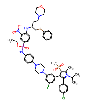 CCOP(=O)(Nc1ccc(N2CCN(c3cc(F)cc(-c4c(S(C)(=O)=O)c(C)n(C(C)C)c4-c4ccc(Cl)cc4)c3)CC2)cc1)c1ccc(NC(CCN2CCOCC2)CSc2ccccc2)c([N+](=O)[O-])c1